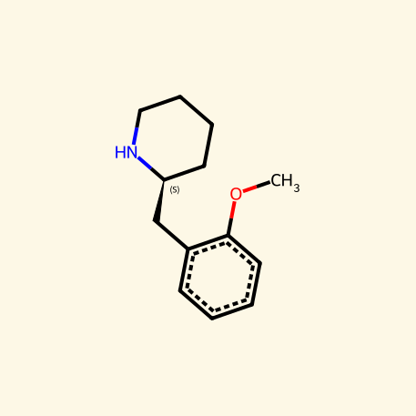 COc1ccccc1C[C@@H]1CCCCN1